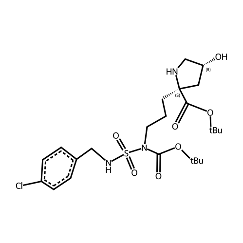 CC(C)(C)OC(=O)N(CCC[C@@]1(C(=O)OC(C)(C)C)C[C@@H](O)CN1)S(=O)(=O)NCc1ccc(Cl)cc1